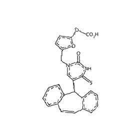 O=C(O)Oc1ccc(Cn2cc(C3c4ccccc4C=Cc4ccccc43)c(=S)[nH]c2=O)o1